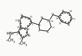 CNc1c(C)nn2c(C3CCCN(Cc4ccccc4)C3)ccnc12